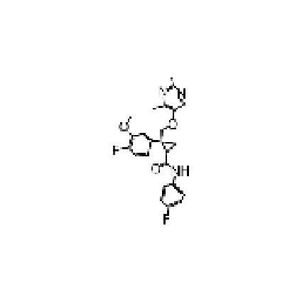 COc1cc([C@]2(COc3cnc(C)nc3C)C[C@H]2C(=O)Nc2ccc(F)cc2)ccc1F